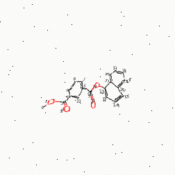 COC(=O)c1cccc(C(=O)Oc2cccc3ccccc23)c1